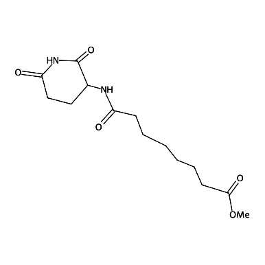 COC(=O)CCCCCCC(=O)NC1CCC(=O)NC1=O